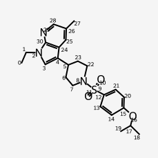 CCn1cc(C2CCN(S(=O)(=O)c3ccc(OC(C)C)cc3)CC2)c2cc(C)cnc21